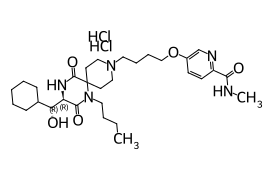 CCCCN1C(=O)[C@@H]([C@H](O)C2CCCCC2)NC(=O)C12CCN(CCCCOc1ccc(C(=O)NC)nc1)CC2.Cl.Cl